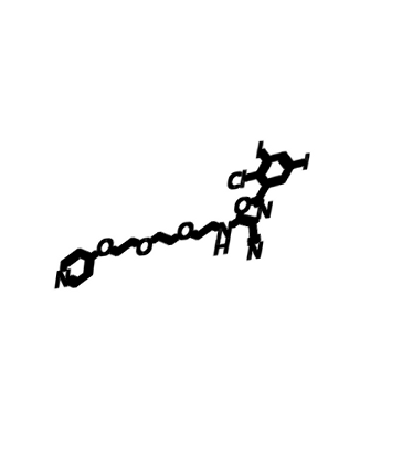 N#Cc1nc(-c2cc(I)cc(I)c2Cl)oc1NCCOCCOCCOc1ccncc1